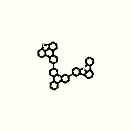 c1ccc2c(c1)c1ccc(-c3ccc4c(c3)c3cccc5oc6cccc4c6c53)cc1c1cc(-c3ccc4c(c3)c3cccc5c6ccccc6n4c53)ccc21